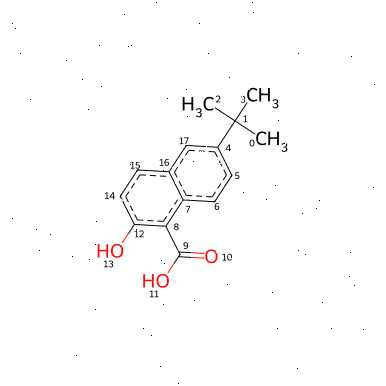 CC(C)(C)c1ccc2c(C(=O)O)c(O)ccc2c1